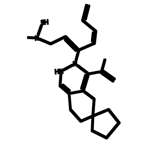 C=C/C=C\C(=C\CN(C)S)N1NC=C2CCC3(CCCC3)CC2=C1C(=C)C